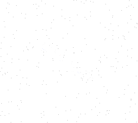 O=C(/C=C/c1cccnc1)NCCC1[C@H]2CN(c3cccc(C(F)(F)F)c3)C[C@@H]12